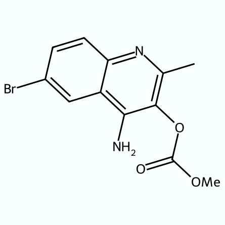 COC(=O)Oc1c(C)nc2ccc(Br)cc2c1N